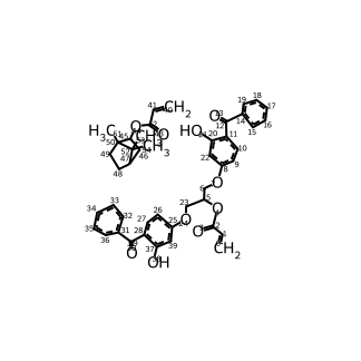 C=CC(=O)OC(COc1ccc(C(=O)c2ccccc2)c(O)c1)COc1ccc(C(=O)c2ccccc2)c(O)c1.C=CC(=O)OC1CC2CCC1(C)C2(C)C